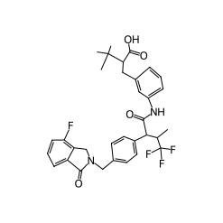 CC(C(C(=O)Nc1cccc(CC(C(=O)O)C(C)(C)C)c1)c1ccc(CN2Cc3c(F)cccc3C2=O)cc1)C(F)(F)F